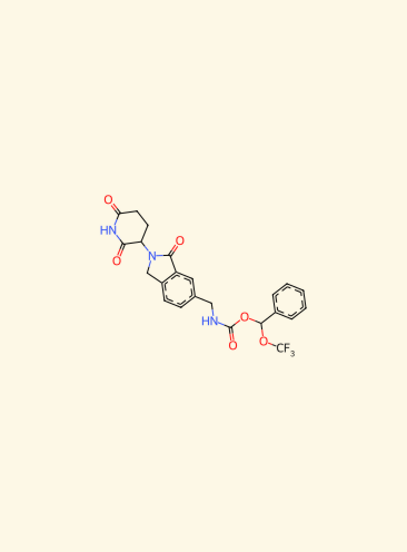 O=C1CCC(N2Cc3ccc(CNC(=O)OC(OC(F)(F)F)c4ccccc4)cc3C2=O)C(=O)N1